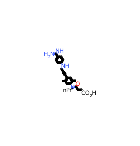 CCCN(C(=O)CCC(=O)O)c1cc(C)c(C#CCNc2ccc(C(=N)N)cc2)cc1C